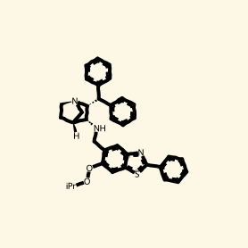 CC(C)OOc1cc2sc(-c3ccccc3)nc2cc1CN[C@@H]1[C@@H]2CC[N@](C2)[C@@H]1C(c1ccccc1)c1ccccc1